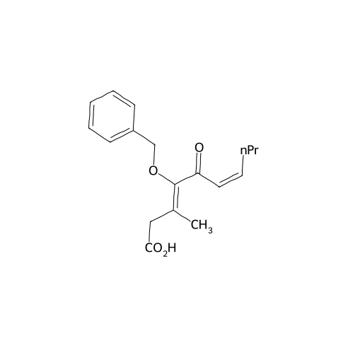 CCC/C=C\C(=O)/C(OCc1ccccc1)=C(\C)CC(=O)O